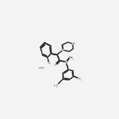 Cl.NN(C(=O)C(c1ccccc1Cl)N1CCNCC1)c1cc(C(F)(F)F)cc(C(F)(F)F)c1